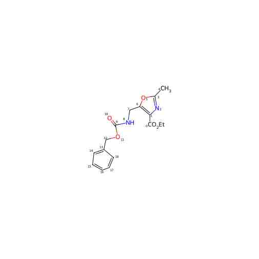 CCOC(=O)c1nc(C)oc1CNC(=O)OCc1ccccc1